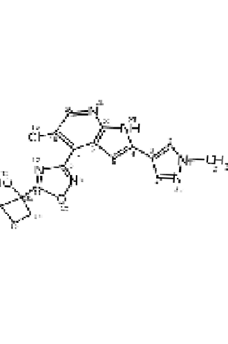 Cn1cc(-c2cc3c(-c4noc(C5(O)CCC5)n4)c(Cl)cnc3[nH]2)cn1